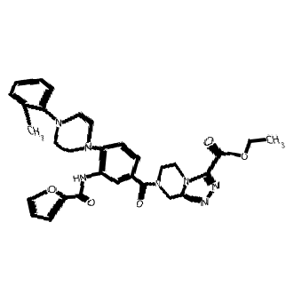 CCOC(=O)c1nnc2n1CCN(C(=O)c1ccc(N3CCN(c4ccccc4C)CC3)c(NC(=O)c3ccco3)c1)C2